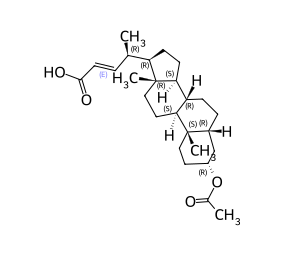 CC(=O)O[C@@H]1CC[C@@]2(C)[C@H](CC[C@@H]3[C@@H]2CC[C@]2(C)[C@@H]([C@H](C)/C=C/C(=O)O)CC[C@@H]32)C1